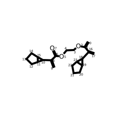 C=C(OCCOC(=O)C(=C)C1C2CCCC21)C(=C)C1C2CCCC21